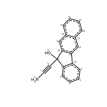 NC#CC1(O)c2ccccc2-c2cc3ccccc3cc21